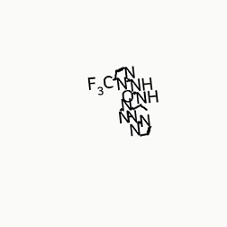 CC(NC(=O)Nc1nccc(C(F)(F)F)n1)c1ncnn1-c1ncccn1